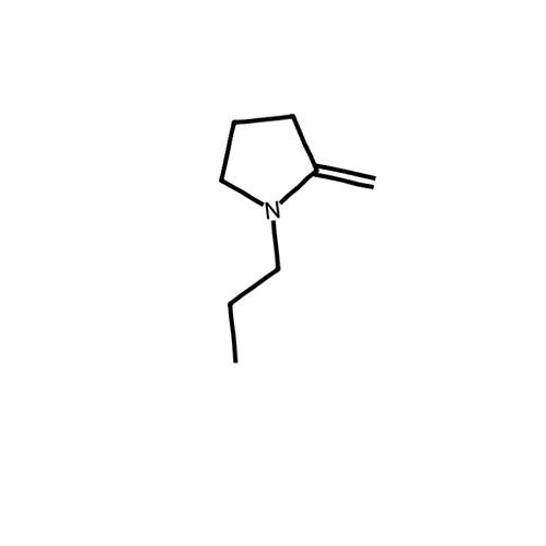 C=C1CCCN1CCC